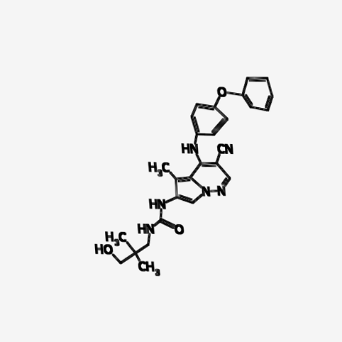 Cc1c(NC(=O)NCC(C)(C)CO)cn2ncc(C#N)c(Nc3ccc(Oc4ccccc4)cc3)c12